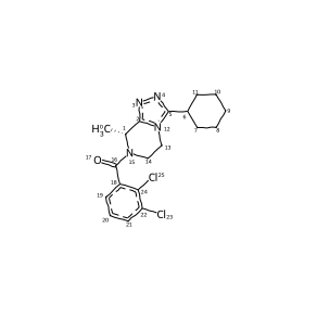 C[C@@H]1c2nnc(C3CCCCC3)n2CCN1C(=O)c1cccc(Cl)c1Cl